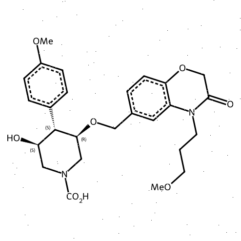 COCCCN1C(=O)COc2ccc(CO[C@H]3CN(C(=O)O)C[C@@H](O)[C@@H]3c3ccc(OC)cc3)cc21